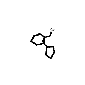 OCC1=C(C2CCCC2)CCCC1